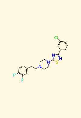 Fc1ccc(CCN2CCN(c3nc(-c4cccc(Cl)c4)ns3)CC2)cc1F